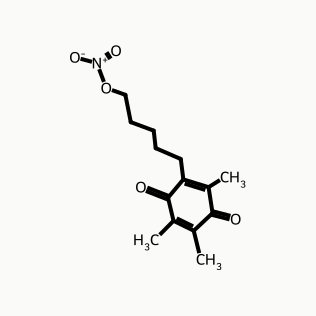 CC1=C(C)C(=O)C(CCCCCO[N+](=O)[O-])=C(C)C1=O